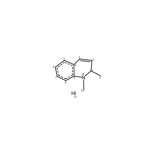 CC1C=Cc2ccccc2N1C.I